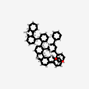 c1ccc(-c2cc(-c3ccccc3)nc(-c3c(-c4ccccc4-c4cccc5sc6ccccc6c45)ccc4c3-c3c5c(ccc3=N4)=c3ccccc3=N5)n2)cc1